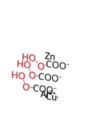 O=C([O-])OO.O=C([O-])OO.O=C([O-])OO.[Al+3].[Cu].[Zn]